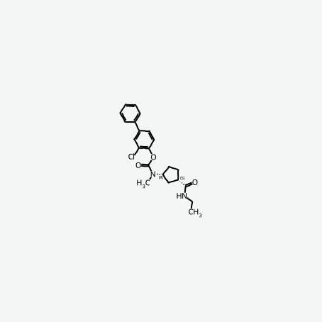 CCNC(=O)[C@H]1CC[C@@H](N(C)C(=O)Oc2ccc(-c3ccccc3)cc2Cl)C1